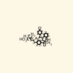 CC(=O)N(c1ccc(Cl)cc1)[C@@H]1CC(C)(C(=O)c2ccc(CCCC(C)(C)C(=O)O)cc2)Nc2ccccc21